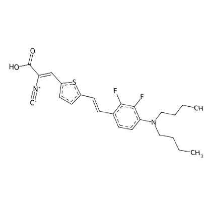 [C-]#[N+]/C(=C\c1ccc(/C=C/c2ccc(N(CCCC)CCCC)c(F)c2F)s1)C(=O)O